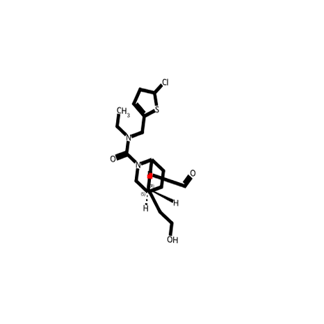 CCN(CC1=CCC(Cl)S1)C(=O)N1C[C@@H]2CCC1CN(C=O)[C@@H]2CCO